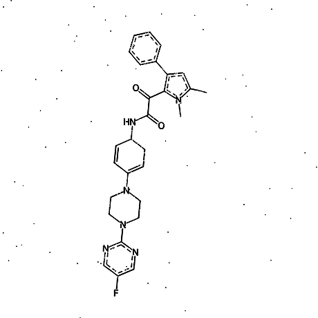 Cc1cc(-c2ccccc2)c(C(=O)C(=O)NC2C=CC(N3CCN(c4ncc(F)cn4)CC3)=CC2)n1C